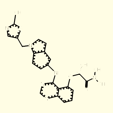 Cc1ncc(Cn2ccc3cc(Nc4ncnc5cccc(O[C@H](C)C(=O)N(C)C)c45)ccc32)s1